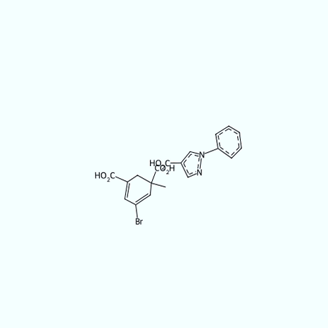 CC1(C(=O)O)C=C(Br)C=C(C(=O)O)C1.O=C(O)c1cnn(-c2ccccc2)c1